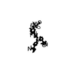 CNC(=O)C(CCC=O)N(C=O)C(=O)c1cc(N2CC(CCN(c3ccc(C4(C#N)CC4)cc3)c3cc(-c4c(C)noc4C)ccc3C)C2)c(F)cc1C